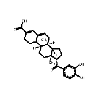 C[C@]12CC[C@H]3[C@@H](CC=C4C=C(C(=O)O)CC[C@@]43C)[C@@H]1CC[C@@H]2C(=O)c1ccc(O)c(O)c1